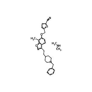 CNC.Cc1c(OCc2ccc(C#N)s2)ccc2c(CCC3CCN(Cc4ccccc4)CC3)noc12